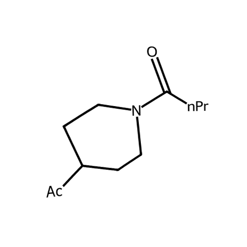 CCCC(=O)N1CCC(C(C)=O)CC1